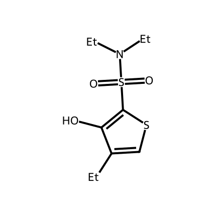 CCc1csc(S(=O)(=O)N(CC)CC)c1O